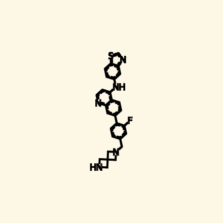 Fc1cc(CN2CC3(CNC3)C2)ccc1-c1ccc2c(Nc3ccc4scnc4c3)ccnc2c1